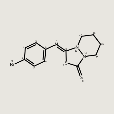 S=c1s/c(=N\c2ccc(Br)cc2)n2n1CCCC2